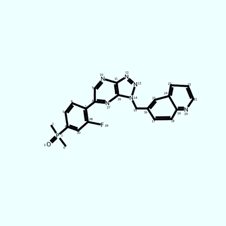 CP(C)(=O)c1ccc(-c2cnc3nnn(Cc4ccc5ncccc5c4)c3n2)c(F)c1